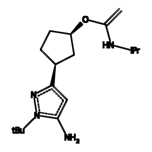 C=C(NC(C)C)O[C@@H]1CC[C@H](c2cc(N)n(C(C)(C)C)n2)C1